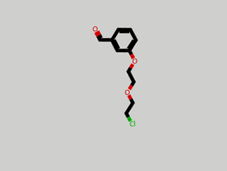 O=Cc1cccc(OCCOCCCl)c1